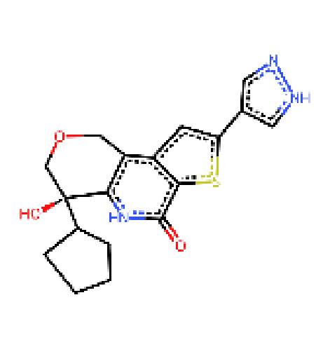 O=c1[nH]c2c(c3cc(-c4cn[nH]c4)sc13)COC[C@@]2(O)C1CCCC1